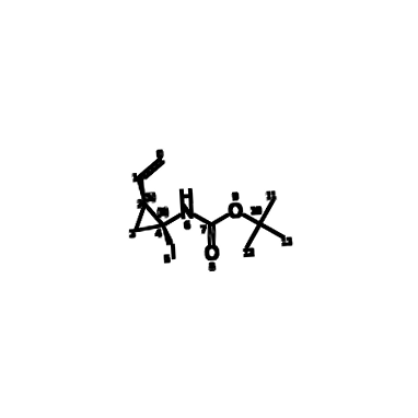 C=C[C@@H]1C[C@@]1(I)NC(=O)OC(C)(C)C